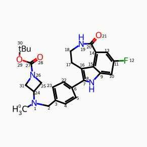 CN(Cc1ccc(-c2[nH]c3cc(F)cc4c3c2CCNC4=O)cc1)C1CN(C(=O)OC(C)(C)C)C1